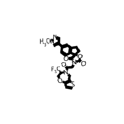 Cn1cc(-c2ccc3c(c2)CCC32OC(=O)N(CC(=O)N3Cc4sccc4OC[C@H]3C(F)(F)F)C2=O)cn1